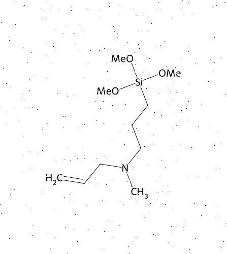 C=CCN(C)CCC[Si](OC)(OC)OC